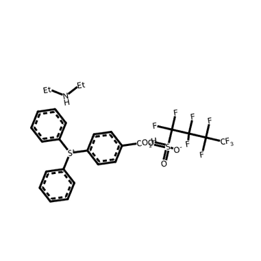 CCNCC.O=C(O)c1ccc([S+](c2ccccc2)c2ccccc2)cc1.O=S(=O)([O-])C(F)(F)C(F)(F)C(F)(F)C(F)(F)F